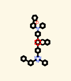 c1ccc(-c2cccc(-c3nc(-c4ccccc4)nc(-c4ccc(-c5ccc(-c6ccc(N(c7ccccc7)c7cccc8c7oc7ccccc78)cc6)c6c5C5c7ccccc7C6c6ccccc65)cc4)n3)c2)cc1